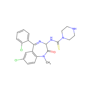 CN1C(=O)C(NC(=S)N2CCNCC2)N=C(c2ccccc2Cl)c2cc(Cl)ccc21